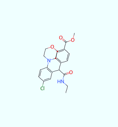 CCNC(=O)C(c1ccc(C(=O)OC)cc1)c1cc(Cl)ccc1N1CCOCC1